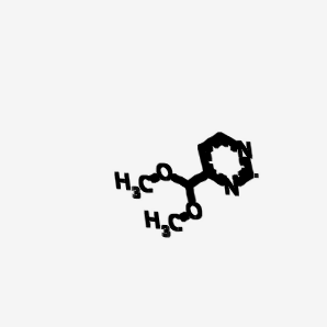 COC(OC)c1ccn[c]n1